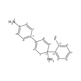 Nc1ccc(C2=CCC(N)(c3ccccc3F)C=C2)cc1